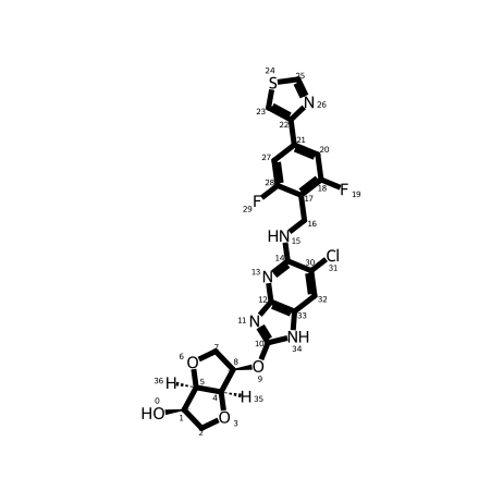 O[C@@H]1CO[C@H]2[C@@H]1OC[C@H]2Oc1nc2nc(NCc3c(F)cc(-c4cscn4)cc3F)c(Cl)cc2[nH]1